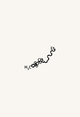 CC/C=C\C/C=C\C/C=C\C/C=C\C/C=C\C/C=C\CCC(=O)OC(C)COS(=O)(=O)c1ccc(C)cc1